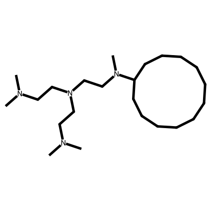 CN(C)CCN(CCN(C)C)CCN(C)C1CCCCCCCCCCC1